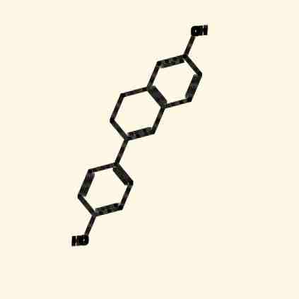 Oc1ccc(C2=Cc3ccc(O)cc3CC2)cc1